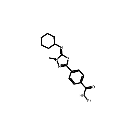 CCNC(=O)c1ccc(-c2nn(C)/c(=N\C3CCCCC3)s2)cc1